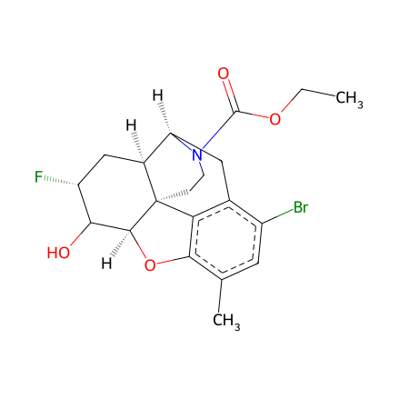 CCOC(=O)N1CC[C@]23c4c5c(Br)cc(C)c4O[C@H]2C(O)[C@H](F)C[C@H]3[C@H]1C5